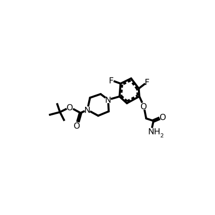 CC(C)(C)OC(=O)N1CCN(c2cc(OCC(N)=O)c(F)cc2F)CC1